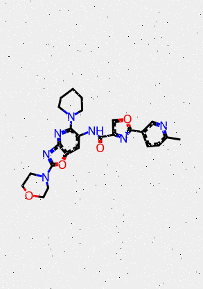 Cc1ccc(-c2nc(C(=O)Nc3cc4oc(N5CCOCC5)nc4nc3N3CCCCC3)co2)cn1